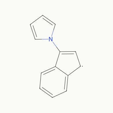 [CH]1C=C(n2cccc2)c2ccccc21